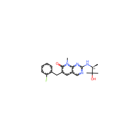 C[C@H](Nc1ncc2cc(Cc3ccccc3F)c(=O)n(C)c2n1)C(C)(C)O